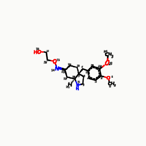 COc1ccc(C[C@@]23CCN[C@H]2CC(=NOCCO)CC3)cc1OC